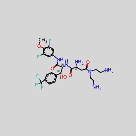 COc1c(F)cc(NC(=O)[C@@H](NC(=O)[C@@H](N)CC(=O)N(CCN)CCN)[C@H](O)c2ccc(C(F)(F)F)cc2)cc1F